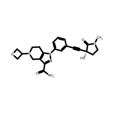 CN1CC[C@@](O)(C#Cc2cccc(-n3nc(C(N)=O)c4c3CCN(C3COC3)C4)c2)C1=O